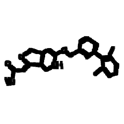 Cc1cccc(C)c1-c1cccc(COC2=CC3=C(CN2)C(CC(=O)O)OC3)c1